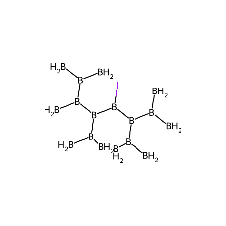 BB(B)B(B)B(B(B)B)B(I)B(B(B)B)B(B)B